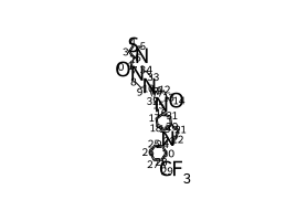 O=C(c1cscn1)N1CCN([C@@H]2CC(=O)N(c3ccc4c(ccn4-c4cccc(C(F)(F)F)c4)c3)C2)CC1